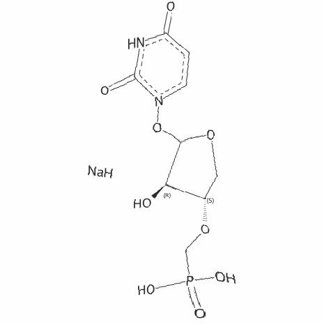 O=c1ccn(OC2OC[C@H](OCP(=O)(O)O)[C@H]2O)c(=O)[nH]1.[NaH]